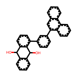 OC1c2ccccc2C(O)c2c(-c3cccc(-c4cc5ccccc5c5ccccc45)c3)cccc21